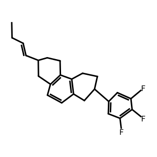 CC/C=C/C1CCc2c(ccc3c2CCC(c2cc(F)c(F)c(F)c2)C3)C1